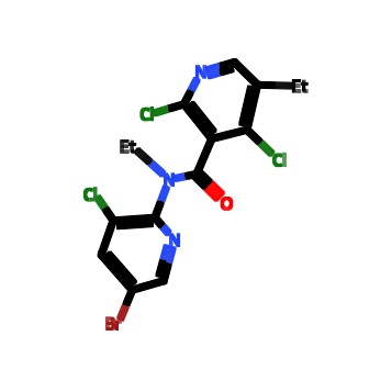 CCc1cnc(Cl)c(C(=O)N(CC)c2ncc(Br)cc2Cl)c1Cl